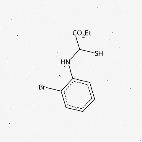 CCOC(=O)C(S)Nc1ccccc1Br